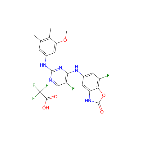 COc1cc(Nc2ncc(F)c(Nc3cc(F)c4oc(=O)[nH]c4c3)n2)cc(C)c1C.O=C(O)C(F)(F)F